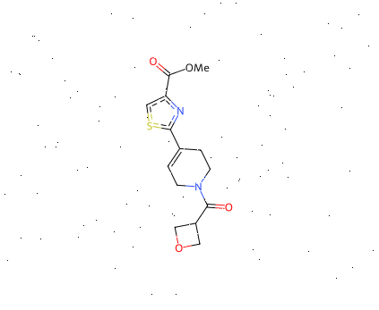 COC(=O)c1csc(C2=CCN(C(=O)C3COC3)CC2)n1